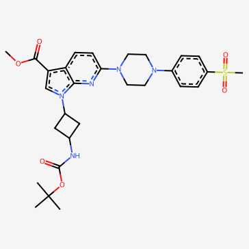 COC(=O)c1cn(C2CC(NC(=O)OC(C)(C)C)C2)c2nc(N3CCN(c4ccc(S(C)(=O)=O)cc4)CC3)ccc12